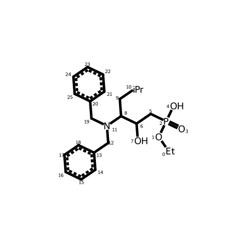 CCOP(=O)(O)CC(O)C(CC(C)C)N(Cc1ccccc1)Cc1ccccc1